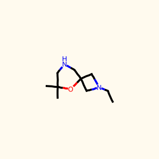 CCN1CC2(CNCC(C)(C)O2)C1